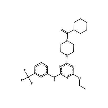 C=C(C1CCCCC1)N1CCN(c2nc(Nc3cccc(C(F)(F)F)c3)nc(OCC)n2)CC1